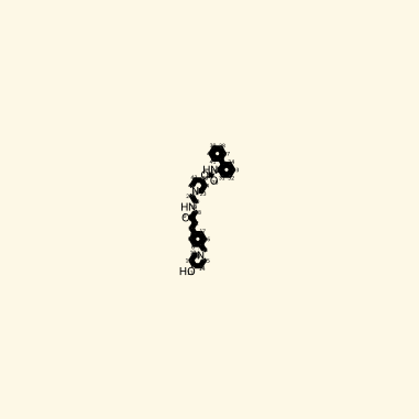 O=C(CCc1ccc(CN2CCC(O)CC2)cc1)CNCCN1CCC(OC(=O)Nc2ccccc2-c2ccccc2)CC1